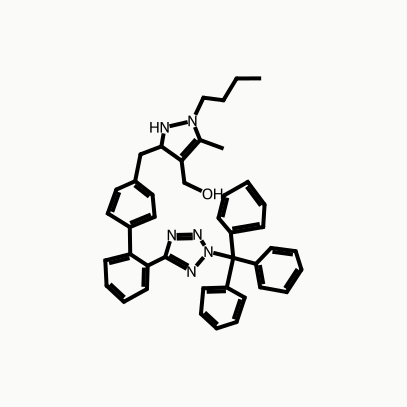 CCCCN1NC(Cc2ccc(-c3ccccc3-c3nnn(C(c4ccccc4)(c4ccccc4)c4ccccc4)n3)cc2)C(CO)=C1C